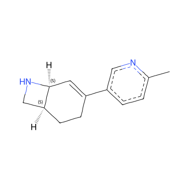 Cc1ccc(C2=C[C@@H]3NC[C@@H]3CC2)cn1